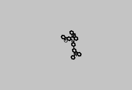 c1ccc(-n2c3ccccc3c3cc(-c4ccc(N5c6cc7oc8ccccc8c7cc6C67CCC(c8ccccc86)c6cccc5c67)cc4)ccc32)cc1